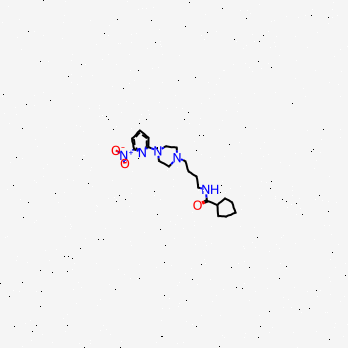 O=C(NCCCCN1CCN(c2cccc([N+](=O)[O-])n2)CC1)C1CCCCC1